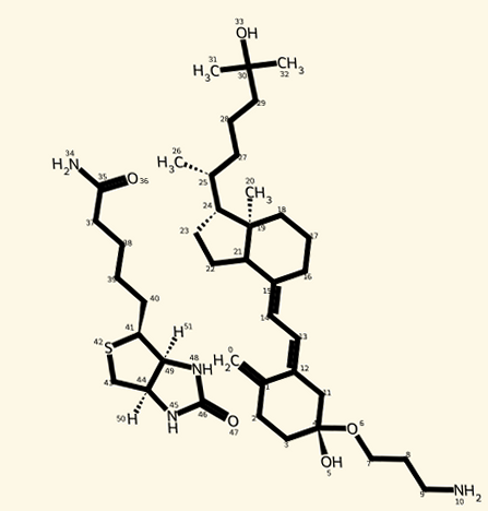 C=C1CC[C@@](O)(OCCCN)C/C1=C/C=C1CCC[C@@]2(C)C1CC[C@@H]2[C@H](C)CCCC(C)(C)O.NC(=O)CCCC[C@@H]1SC[C@@H]2NC(=O)N[C@@H]21